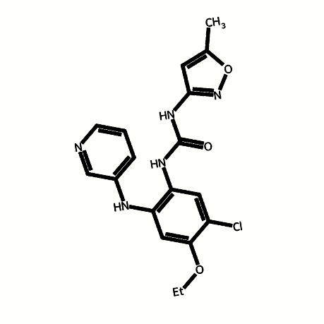 CCOc1cc(Nc2cccnc2)c(NC(=O)Nc2cc(C)on2)cc1Cl